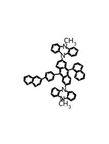 CN1c2ccccc2N(c2ccc3c(-c4cccc5ccccc45)c4cc(N5c6ccccc6N(C)c6ccccc65)ccc4c(-c4ccc(-c5ccc6ccccc6c5)cc4)c3c2)c2ccccc21